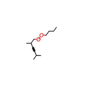 CCCCOOCC(C)C#CC(C)C